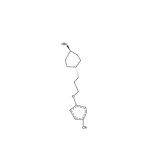 CCCC[C@H]1CC[C@H](CCCOc2ccc(C#N)cc2)CC1